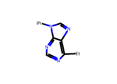 CCc1ncnc2c1ncn2C(C)C